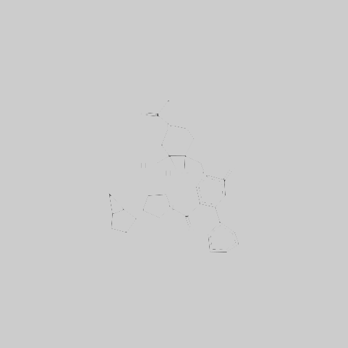 C1CC2CC2C1.CC(C)C(=O)N1CCC(O)(Cn2cc(C(=O)N3CCCC3)c(-c3ccccc3)cc2=O)C(C)(C)C1